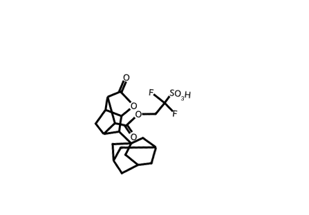 O=C1OC2C3CC(C(C(=O)OCC(F)(F)S(=O)(=O)O)C13)C2C12CC3CC(CC(C3)C1)C2